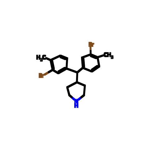 Cc1ccc(C(c2ccc(C)c(Br)c2)C2CCNCC2)cc1Br